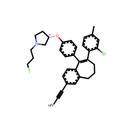 CCCC#Cc1ccc2c(c1)CCCC(c1ccc(C)cc1Cl)=C2c1ccc(O[C@H]2CCN(CCCF)C2)cc1